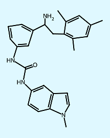 Cc1cc(C)c(CC(N)c2cccc(NC(=O)Nc3ccc4c(ccn4C)c3)c2)c(C)c1